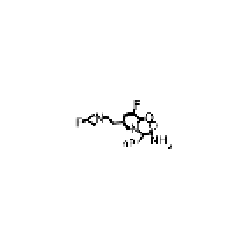 CCCC(C(N)=O)n1cc(CCN2CC(F)C2)cc(F)c1=O